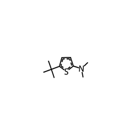 CN(C)c1ccc(C(C)(C)C)s1